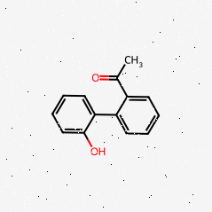 CC(=O)c1ccccc1-c1ccccc1O